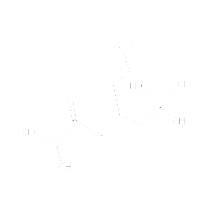 CC(C)C(=O)OC(CCO)CC(C)(C)C